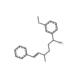 COc1cccc(C(N)CCC(C)C=Cc2ccccc2)c1